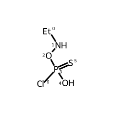 CCNOP(O)(=S)Cl